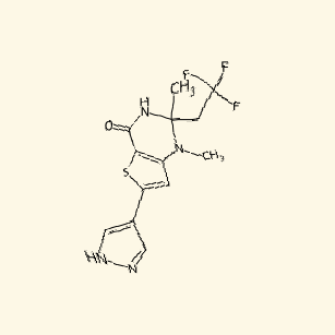 CN1c2cc(-c3cn[nH]c3)sc2C(=O)NC1(C)CC(F)(F)F